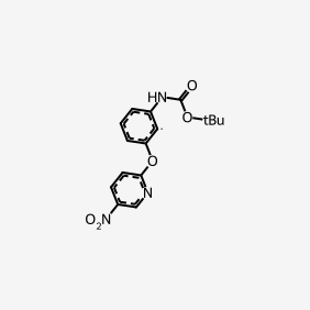 CC(C)(C)OC(=O)Nc1[c]c(Oc2ccc([N+](=O)[O-])cn2)ccc1